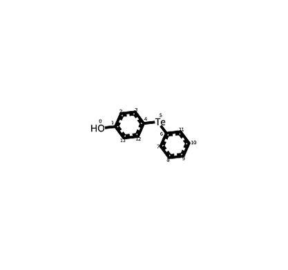 Oc1ccc([Te]c2ccccc2)cc1